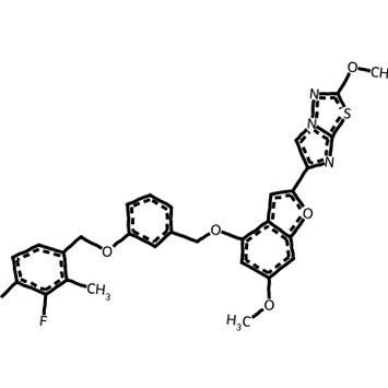 COc1cc(OCc2cccc(OCc3ccc(F)c(F)c3C)c2)c2cc(-c3cn4nc(OC)sc4n3)oc2c1